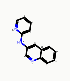 c1ccc(Nc2cnc3ccccc3c2)nc1